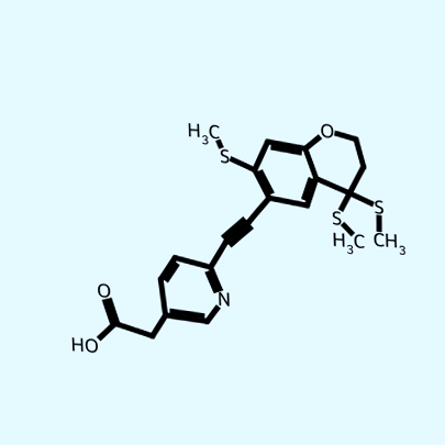 CSc1cc2c(cc1C#Cc1ccc(CC(=O)O)cn1)C(SC)(SC)CCO2